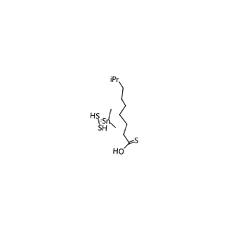 CC(C)CCCCCCC(O)=S.SS.[CH3][Sn][CH3]